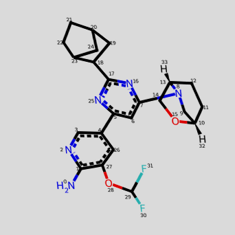 Nc1ncc(-c2cc(N3C[C@@H]4CC[C@H]3CO4)nc(C3CC4CCC3C4)n2)cc1OC(F)F